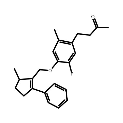 CC(=O)CCc1cc(F)c(OCC2=C(c3ccccc3)CCC2C)cc1C